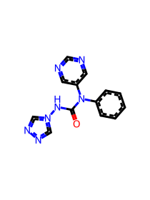 O=C(Nn1cnnc1)N(c1ccccc1)c1cncnc1